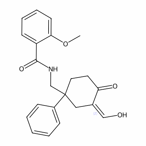 COc1ccccc1C(=O)NCC1(c2ccccc2)CCC(=O)/C(=C\O)C1